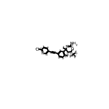 CC1(c2cc(C#Cc3ccc(Cl)nc3)ccc2F)C[C@@H](C(F)(F)F)OC(N)=N1